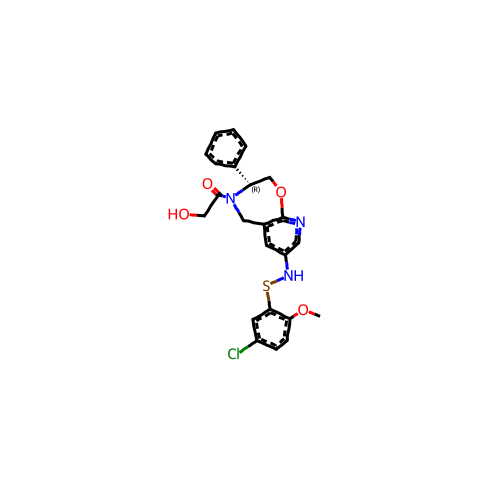 COc1ccc(Cl)cc1SNc1cnc2c(c1)CN(C(=O)CO)[C@H](c1ccccc1)CO2